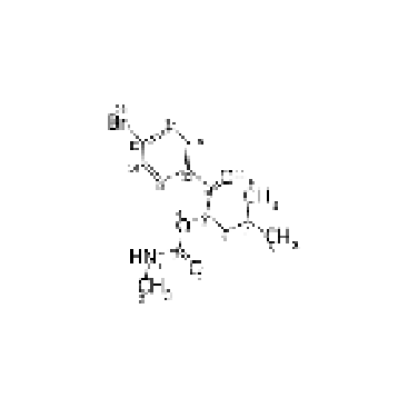 CNC(=O)OC(CC(C)C)C(=O)c1ccc(Br)cc1